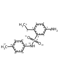 CCc1ccc(N)cc1S(=O)(=O)Nc1ccc(C)cc1